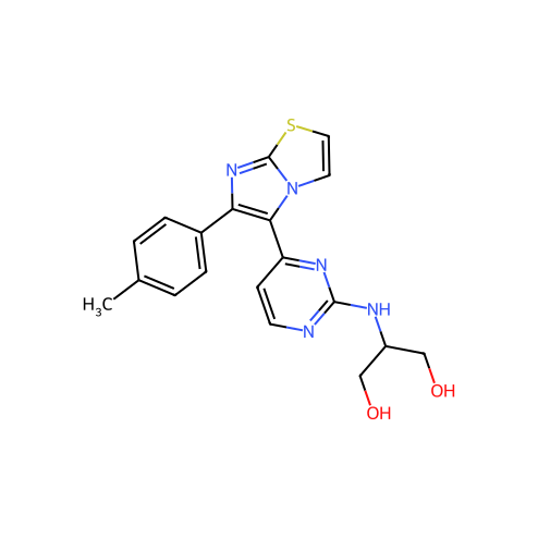 Cc1ccc(-c2nc3sccn3c2-c2ccnc(NC(CO)CO)n2)cc1